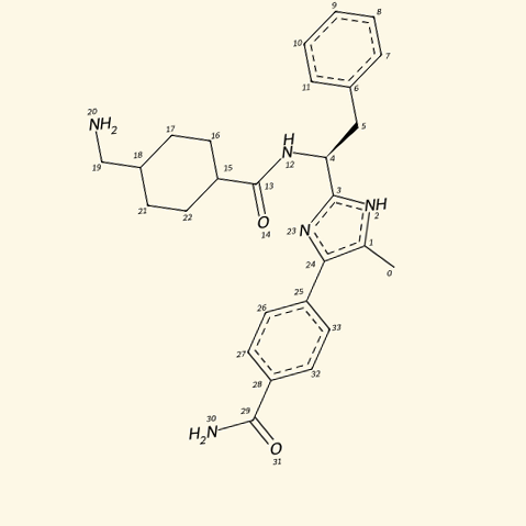 Cc1[nH]c([C@H](Cc2ccccc2)NC(=O)C2CCC(CN)CC2)nc1-c1ccc(C(N)=O)cc1